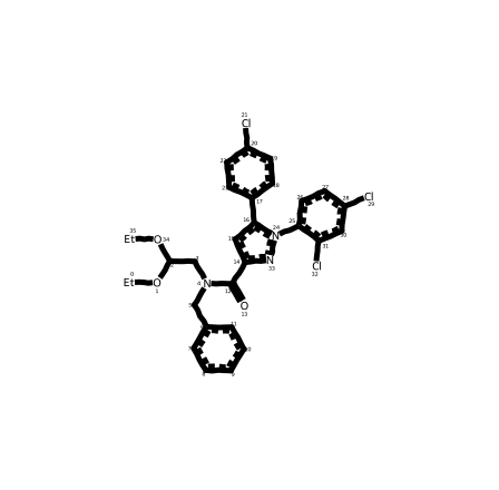 CCOC(CN(Cc1ccccc1)C(=O)c1cc(-c2ccc(Cl)cc2)n(-c2ccc(Cl)cc2Cl)n1)OCC